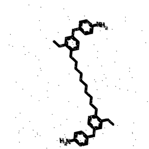 CCc1cc(Cc2ccc(N)cc2)ccc1CCCCCCCCCCc1ccc(Cc2ccc(N)cc2)cc1CC